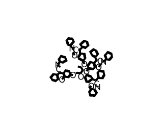 COc1cc(OCC(Oc2ccc(C(=C=Nc3ccccc3)c3ccccc3)c(OC)c2)C(Oc2ccc(C(=C=Nc3ccccc3)c3ccccc3)c(OC)c2)C(C)Oc2ccc(C(=C=Nc3ccccc3)c3ccccc3)c(OC)c2)ccc1C(=C=Nc1ccccc1)c1ccccc1